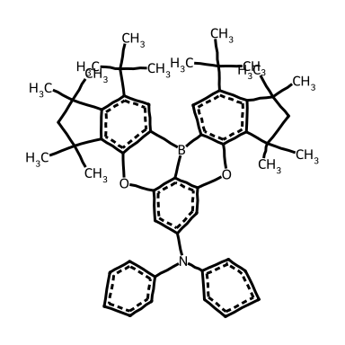 CC(C)(C)c1cc2c(c3c1C(C)(C)CC3(C)C)Oc1cc(N(c3ccccc3)c3ccccc3)cc3c1B2c1cc(C(C)(C)C)c2c(c1O3)C(C)(C)CC2(C)C